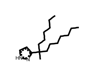 CCCCCCCC(C)(CCCCCC)c1cc[nH]n1